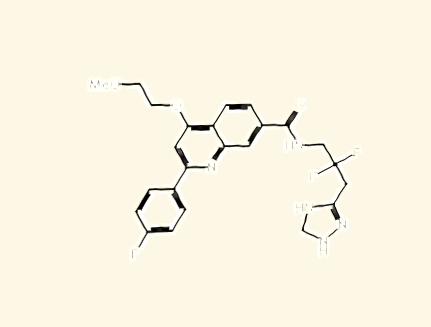 COCCOc1cc(-c2ccc(F)cc2)nc2cc(C(=O)NCC(F)(F)CC3=NNCN3)ccc12